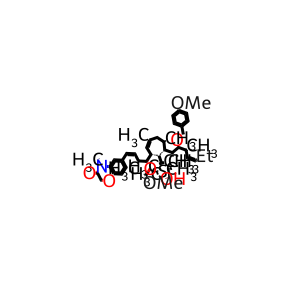 CC/C=C\C(C)[C@H](OCc1ccc(OC)cc1)[C@@H](C)[C@@H]1C(C(C)(C)[Si](C)(C)O)[C@H]([C@@H](OCOC)C(C)/C=C\c2ccc3c(c2)N(C)C(=O)CO3)C=C(C)C[C@@H]1C